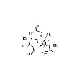 CC(=O)NC1C(OC(C)(C)CC(C)(C)C(C)=O)OC(CO)C(OI)C1O